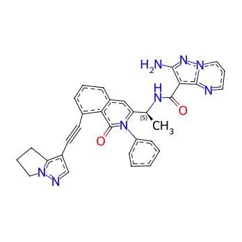 C[C@H](NC(=O)c1c(N)nn2cccnc12)c1cc2cccc(C#Cc3cnn4c3CCC4)c2c(=O)n1-c1ccccc1